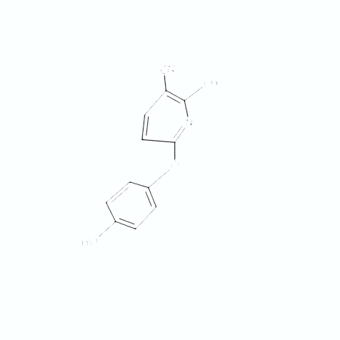 Cc1nc(Oc2ccc(O)cc2)ccc1C#N